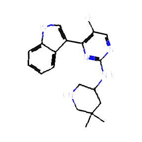 CC1(C)CNCC(Nc2ncc(C(F)(F)F)c(-c3c[nH]c4ccccc34)n2)C1